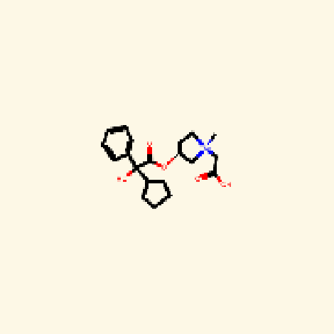 C[N@+]1(CC(=O)O)CC[C@H](OC(=O)C(O)(c2ccccc2)C2CCCC2)C1